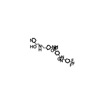 O=S(=O)(Nc1ccc(CCNCC(O)c2cccnc2)cc1)c1ccc(-c2nc(-c3ccc(C(F)(F)F)cc3)no2)cc1